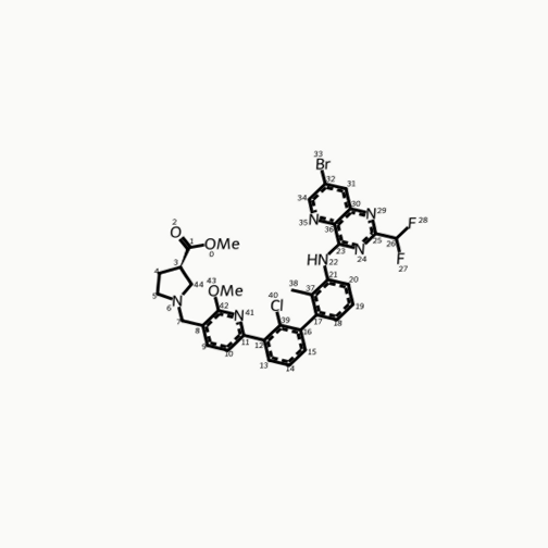 COC(=O)[C@@H]1CCN(Cc2ccc(-c3cccc(-c4cccc(Nc5nc(C(F)F)nc6cc(Br)cnc56)c4C)c3Cl)nc2OC)C1